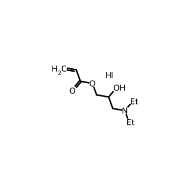 C=CC(=O)OCC(O)CN(CC)CC.I